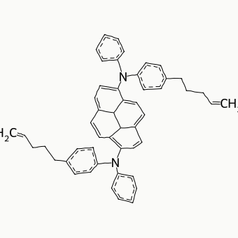 C=CCCCc1ccc(N(C2=CC=C3C=CC4=C(N(c5ccccc5)c5ccc(CCCC=C)cc5)C=CC5=CC=C2C3C54)c2ccccc2)cc1